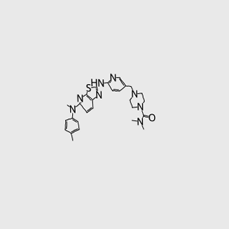 Cc1ccc(N(C)c2ccc3nc(Nc4ccc(CN5CCN(C(=O)N(C)C)CC5)cn4)sc3n2)cc1